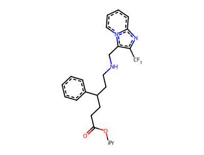 CC(C)OC(=O)CCC(CCNCc1c(C(F)(F)F)nc2ccccn12)c1ccccc1